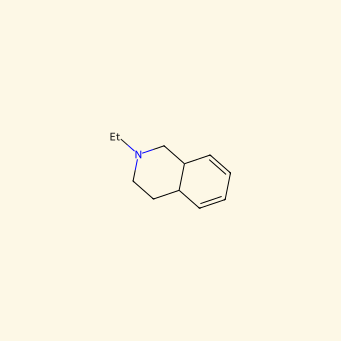 CCN1CCC2C=CC=CC2C1